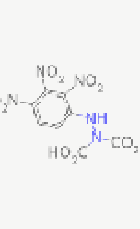 O=C(O)N(Nc1ccc([N+](=O)[O-])c([N+](=O)[O-])c1[N+](=O)[O-])C(=O)O